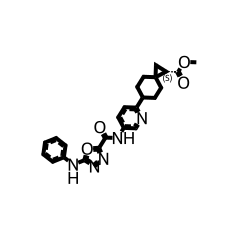 COC(=O)[C@H]1CC12CCC(c1ccc(NC(=O)c3nnc(Nc4ccccc4)o3)cn1)CC2